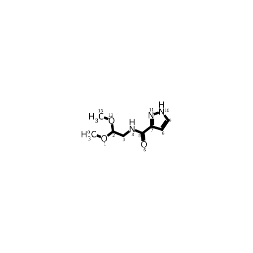 COC(CNC(=O)c1cc[nH]n1)OC